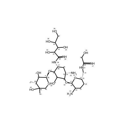 C[C@@H]1C(O)[C@@H](OC2C(O)C(O[C@H]3O[C@H](CNC(=N)CO)CCC3N)[C@@H](N)C[C@H]2NC(=N)C(O)C(O)C(O)CO)OCC1(C)O